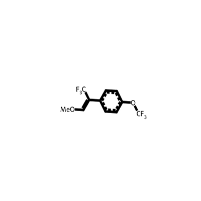 COC=C(c1ccc(OC(F)(F)F)cc1)C(F)(F)F